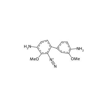 COc1cc(-c2ccc(N)c(OC)c2[N+]#N)ccc1N